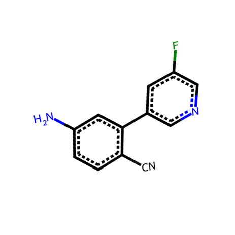 N#Cc1ccc(N)cc1-c1cncc(F)c1